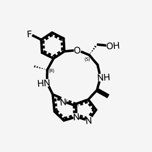 C=C1NC[C@@H](CO)Oc2ccc(F)cc2[C@@H](C)Nc2ccn3ncc1c3n2